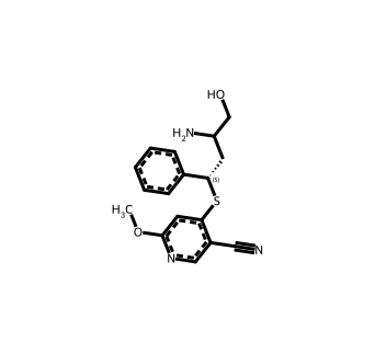 COc1cc(S[C@@H](CC(N)CO)c2ccccc2)c(C#N)cn1